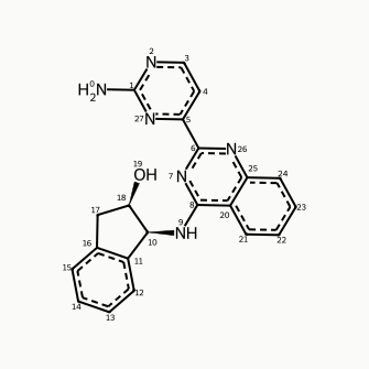 Nc1nccc(-c2nc(N[C@H]3c4ccccc4C[C@H]3O)c3ccccc3n2)n1